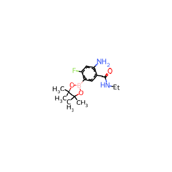 CCNC(=O)c1cc(B2OC(C)(C)C(C)(C)O2)c(F)cc1N